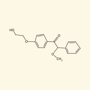 COC(C(=O)c1ccc(OCCO)cc1)c1ccccc1